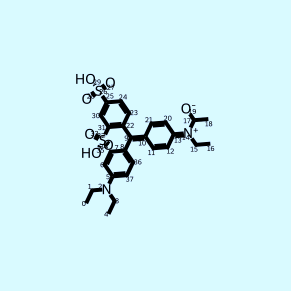 CCN(CC)c1ccc(C(=C2C=CC(=[N+](CC)C(C)[O-])C=C2)c2ccc(S(=O)(=O)O)cc2S(=O)(=O)O)cc1